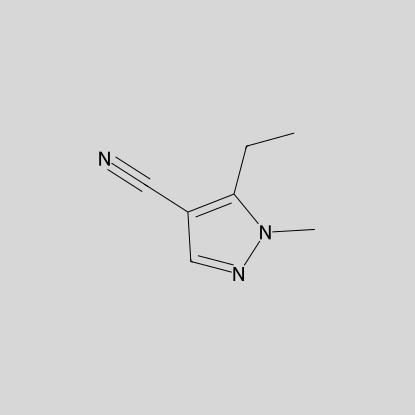 CCc1c(C#N)cnn1C